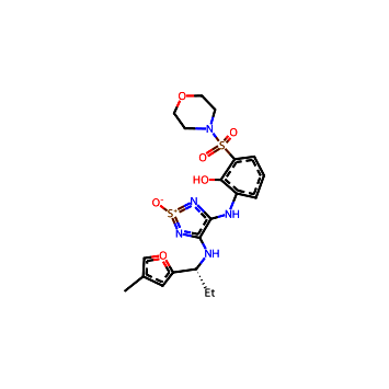 CC[C@@H](Nc1n[s+]([O-])nc1Nc1cccc(S(=O)(=O)N2CCOCC2)c1O)c1cc(C)co1